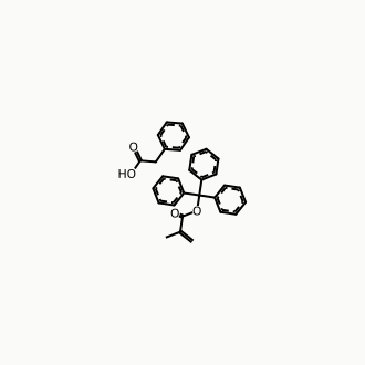 C=C(C)C(=O)OC(c1ccccc1)(c1ccccc1)c1ccccc1.O=C(O)Cc1ccccc1